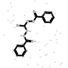 [CH2]C[C](OOC(=O)c1ccccc1)OOC(=O)c1ccccc1